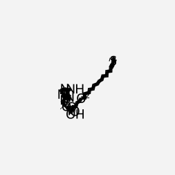 C[C@H](Cn1cnc2c(N)ncnc21)OCP(=O)(O)OCCCOCCCCCCCCCCCCCC#CS(C)(C)C